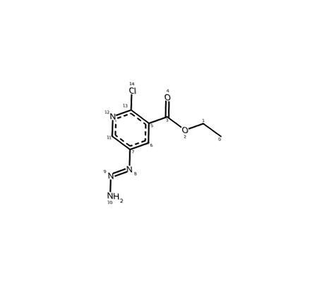 CCOC(=O)c1cc(N=NN)cnc1Cl